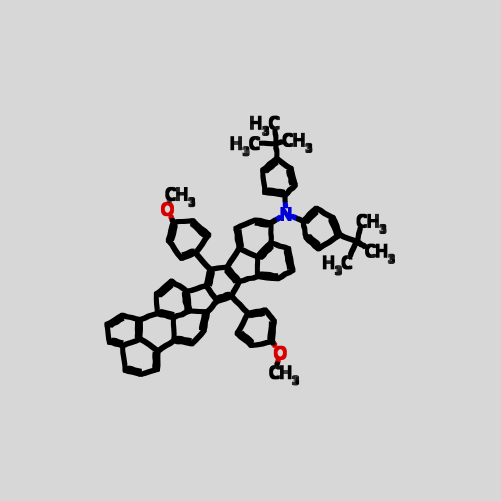 COc1ccc(-c2c3c4cccc5c(N(c6ccc(C(C)(C)C)cc6)c6ccc(C(C)(C)C)cc6)ccc(c3c(-c3ccc(OC)cc3)c3c6ccc7c8cccc9cccc(c%10ccc(c23)c6c%107)c98)c54)cc1